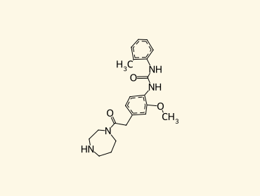 COc1cc(CC(=O)N2CCCNCC2)ccc1NC(=O)Nc1ccccc1C